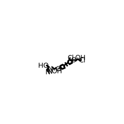 CC(C)(c1ccc(OC[C@H](O)Cn2nncc2CO)cc1)c1ccc(OC[C@H](O)CCl)c(Cl)c1